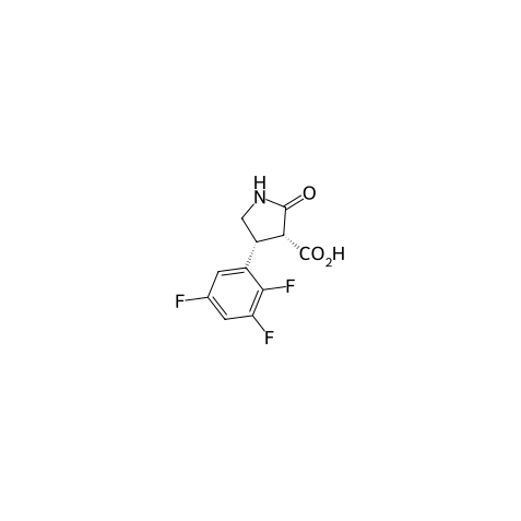 O=C(O)[C@H]1C(=O)NC[C@H]1c1cc(F)cc(F)c1F